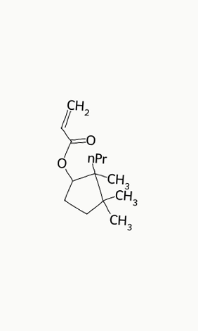 C=CC(=O)OC1CCC(C)(C)C1(C)CCC